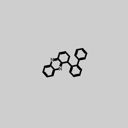 C1=Cc2nc3ccccc3nc2C(c2ccccc2-c2ccccc2)C1